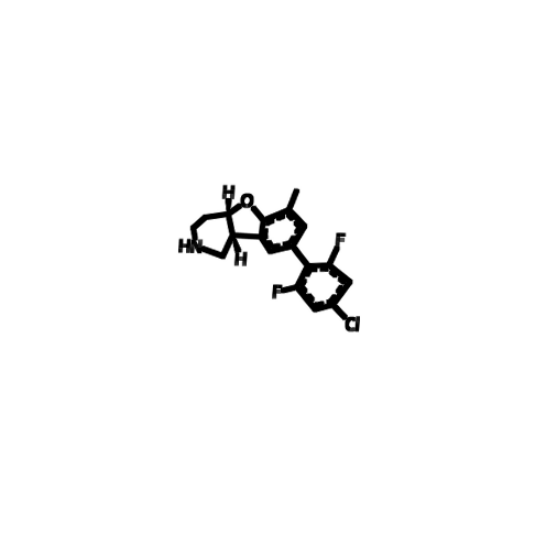 Cc1cc(-c2c(F)cc(Cl)cc2F)cc2c1O[C@H]1CCNC[C@@H]21